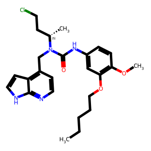 CCCCCOc1cc(NC(=O)N(Cc2ccnc3[nH]ccc23)[C@@H](C)CCCl)ccc1OC